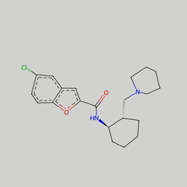 O=C(N[C@@H]1CCCC[C@H]1CN1CCCCC1)c1cc2cc(Cl)ccc2o1